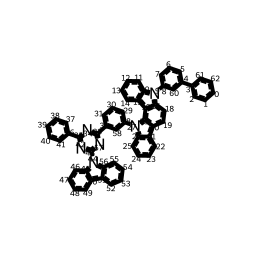 c1ccc(-c2cccc(-n3c4ccccc4c4c3ccc3c5ccccc5n(-c5cccc(-c6nc(-c7ccccc7)nc(-n7c8ccccc8c8ccccc87)n6)c5)c34)c2)cc1